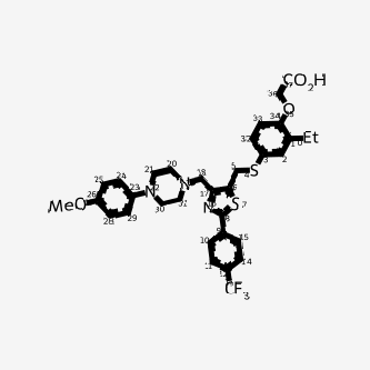 CCc1cc(SCc2sc(-c3ccc(C(F)(F)F)cc3)nc2CN2CCN(c3ccc(OC)cc3)CC2)ccc1OCC(=O)O